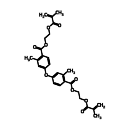 C=C(C)C(=O)OCCOC(=O)c1ccc(Oc2ccc(C(=O)OCCOC(=O)C(=C)C)c(C)c2)cc1C